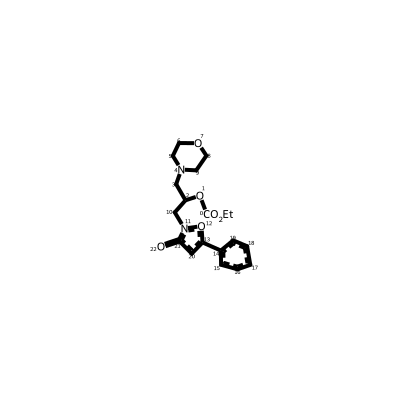 CCOC(=O)OC(CN1CCOCC1)Cn1oc(-c2ccccc2)cc1=O